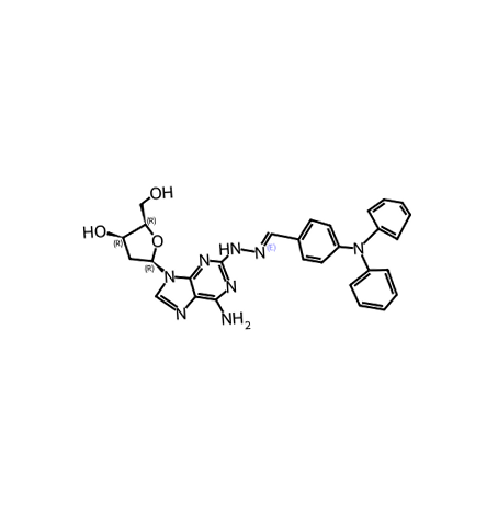 Nc1nc(N/N=C/c2ccc(N(c3ccccc3)c3ccccc3)cc2)nc2c1ncn2[C@H]1C[C@@H](O)[C@@H](CO)O1